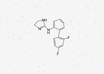 Fc1ccc(-c2ccccc2NC2=NCCN2)c(F)c1